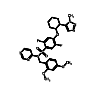 COc1ccc(CN(c2ccncn2)S(=O)(=O)c2cc(F)c(OC3CCCCC3c3cnnn3C)cc2F)c(OC)c1